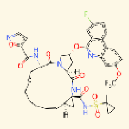 CC1(S(=O)(=O)NC(=O)[C@@]23C[C@H]2/C=C\CCCCC[C@H](NC(=O)c2ccno2)C(=O)N2C[C@H](Oc4nc5cc(OC(F)(F)F)ccc5c5ccc(F)cc45)C[C@H]2C(=O)N3)CC1